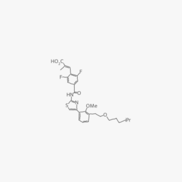 COc1c(CCOCCCC(C)C)cccc1-c1csc(NC(=O)c2cc(F)c(/C=C(\C)C(=O)O)c(F)c2)n1